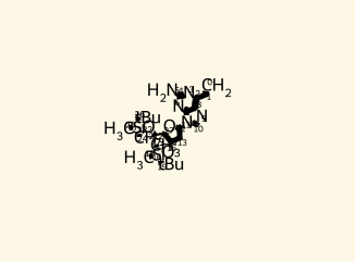 C=Cc1nc(N)nc2c1ncn2C1C[C@H](O[Si](C)(C)C(C)(C)C)[C@@H](CO[Si](C)(C)C(C)(C)C)O1